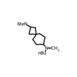 CCCCN(C)C1CCC2(CC1)CC(NC)C2